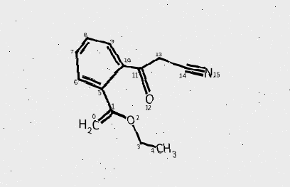 C=C(OCC)c1ccccc1C(=O)CC#N